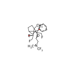 CN(CCOC1(c2ccccc2)CC2CCC1(C)C2(C(F)(F)CF)C(F)(F)CF)C(F)(F)F